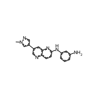 Cn1cc(-c2cnc3ccc(Nc4cccc(N)c4)nc3c2)cn1